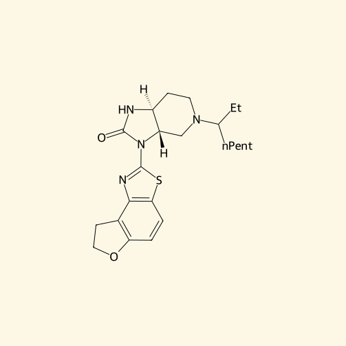 CCCCCC(CC)N1CC[C@@H]2NC(=O)N(c3nc4c5c(ccc4s3)OCC5)[C@H]2C1